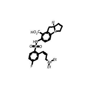 CC[As](CC)C/C=C\c1cc(F)ccc1S(=O)(=O)Nc1ccc2c(c1C(=O)O)C[C@@H]1CCCN21